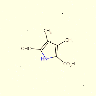 Cc1c(C=O)[nH]c(C(=O)O)c1C